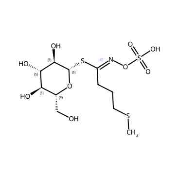 CSCCC/C(=N\OS(=O)(=O)O)S[C@@H]1O[C@H](CO)[C@@H](O)[C@H](O)[C@H]1O